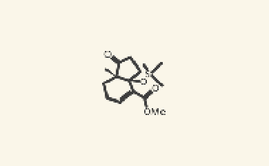 COC(=O)C1=CCC[C@]2(C)C(=O)CC[C@]12O[Si](C)(C)C